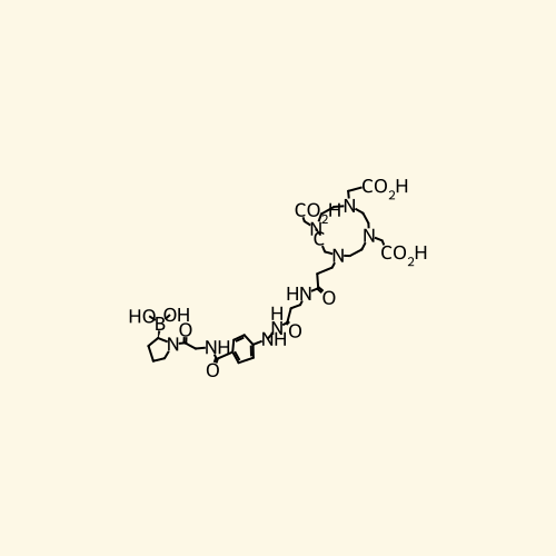 O=C(O)CN1CCN(CCC(=O)NCCC(=O)NNc2ccc(C(=O)NCC(=O)N3CCC[C@H]3B(O)O)cc2)CCN(CC(=O)O)CCN(CC(=O)O)CC1